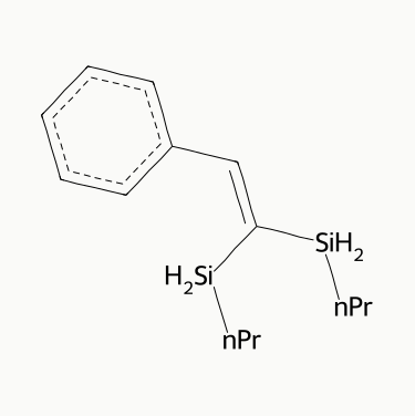 CCC[SiH2]C(=Cc1ccccc1)[SiH2]CCC